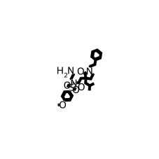 COc1ccc(S(=O)(=O)N(CCN)C(=O)CC2(CC(C)C)CCN(CCc3ccccc3)C2=O)cc1